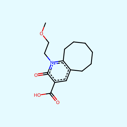 COCCn1c2c(cc(C(=O)O)c1=O)CCCCCC2